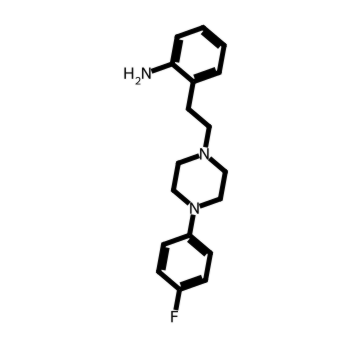 Nc1ccccc1CCN1CCN(c2ccc(F)cc2)CC1